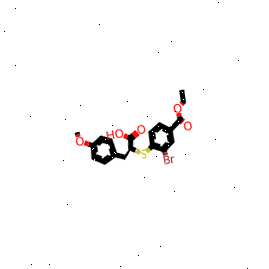 CCOC(=O)c1ccc(S[C@@H](Cc2ccc(OC)cc2)C(=O)O)c(Br)c1